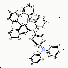 C1=Cc2c(cc3c4c2-c2ccccc2-c2ccccc2N4c2ccccc2N3c2ccc(N(c3ccccc3)c3ccccc3)cc2)CC1